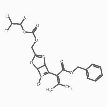 CC(C)=C(C(=O)OCc1ccccc1)C1=[N+]([O-])C2OC(COC(=O)OC(Cl)C(Cl)Cl)=NC12